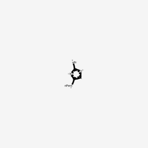 [CH2]CCc1nc(CCCCC)co1